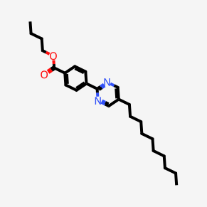 CCCCCCCCCCc1cnc(-c2ccc(C(=O)OCCCC)cc2)nc1